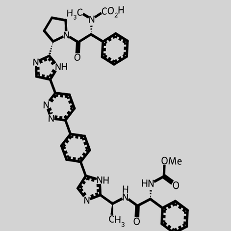 COC(=O)N[C@@H](C(=O)N[C@@H](C)c1ncc(-c2ccc(-c3ccc(-c4cnc([C@@H]5CCCN5C(=O)[C@@H](c5ccccc5)N(C)C(=O)O)[nH]4)nn3)cc2)[nH]1)c1ccccc1